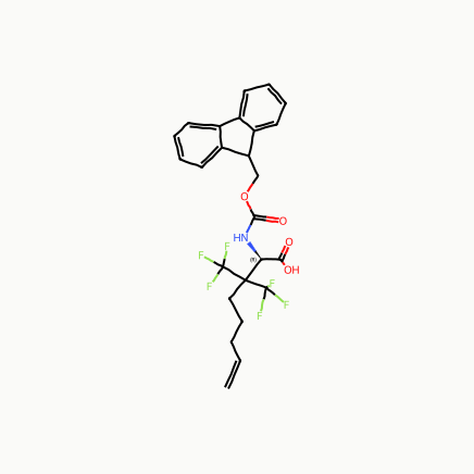 C=CCCCC([C@@H](NC(=O)OCC1c2ccccc2-c2ccccc21)C(=O)O)(C(F)(F)F)C(F)(F)F